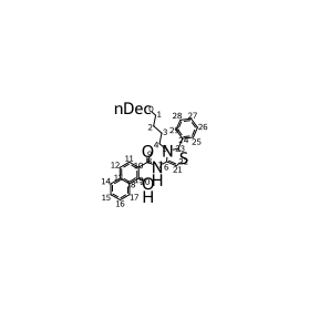 CCCCCCCCCCCCCCN1C(NC(=O)c2ccc3ccccc3c2O)=CSC1c1ccccc1